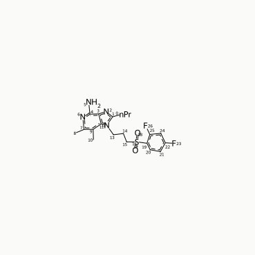 CCCc1nc2c(N)nc(C)c(C)c2n1CCCS(=O)(=O)c1ccc(F)cc1F